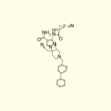 N#CCC1(n2cc(C(N)=O)c(NC(=O)[C@H]3C[C@@H]3C#N)n2)CCN(Cc2ccc(-c3ccccc3)cc2)CC1F